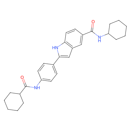 O=C(NC1CCCCC1)c1ccc2[nH]c(-c3ccc(NC(=O)C4CCCCC4)cc3)cc2c1